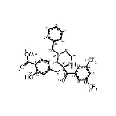 COC(=O)c1ccc(C[C@]2(C(=O)c3cc(C(F)(F)F)cc(C(F)(F)F)c3)CN(Cc3ccccc3)CCN2)cc1O